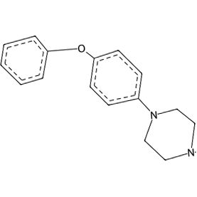 c1ccc(Oc2ccc(N3CC[N]CC3)cc2)cc1